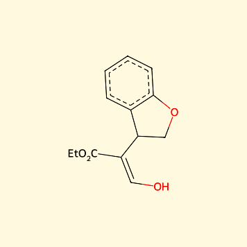 CCOC(=O)/C(=C/O)C1COc2ccccc21